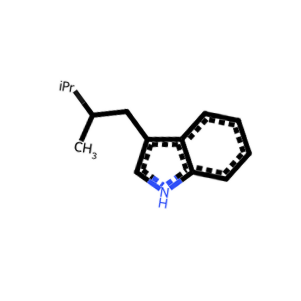 CC(C)C(C)Cc1c[nH]c2ccccc12